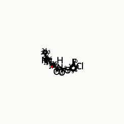 O=C(COc1ccc(Cl)c(F)c1)NC(=O)C12CC(n3cnc(C4CCC4)c3)(C1)C2